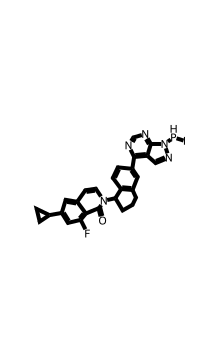 O=c1c2c(F)cc(C3CC3)cc2ccn1C1CCCc2cc(-c3ncnc4c3cnn4PI)ccc21